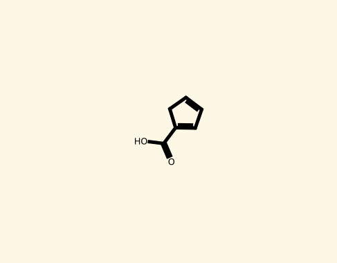 O=C(O)C1=CC=CC1